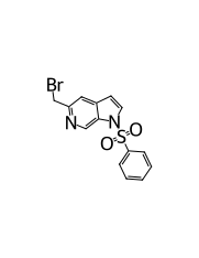 O=S(=O)(c1ccccc1)n1ccc2cc(CBr)ncc21